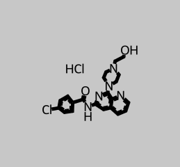 Cl.O=C(Nc1cc2cccnc2c(N2CCN(CCO)CC2)n1)c1ccc(Cl)cc1